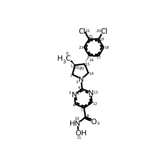 C[C@@H]1CN(c2ncc(C(=O)NO)cn2)C[C@H]1c1ccc(Cl)c(Cl)c1